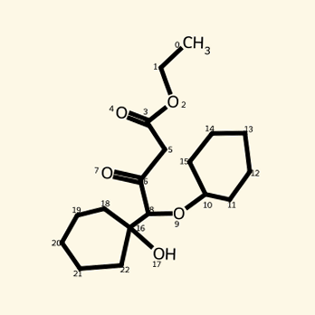 CCOC(=O)CC(=O)C(OC1CCCCC1)C1(O)CCCCC1